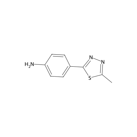 Cc1nnc(-c2ccc(N)cc2)s1